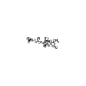 Cc1cc(Cl)cc2c1O[C@H](C(F)(F)F)C(C(=O)OCCOC(=O)CCCO[N+](=O)[O-])=C2